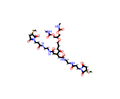 CNC(=O)OCC(COC(=O)NC)OCCCC(=O)C(CC(=O)NCCNC(=O)CCN1C(=O)CC(SC)C1=O)CC(=O)NCCNC(=O)CCN1C(=O)CC(SC)C1=O